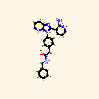 Nc1ncccc1-c1nc2cccnc2n1-c1ccc(CC(=O)NCc2ccccc2)cc1